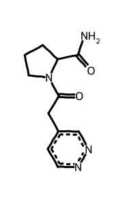 NC(=O)C1CCCN1C(=O)Cc1ccnnc1